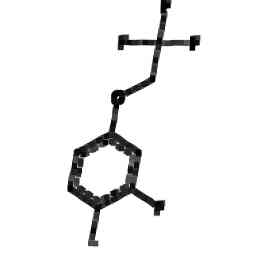 [CH2]c1ccc(OCC(F)(F)F)cc1F